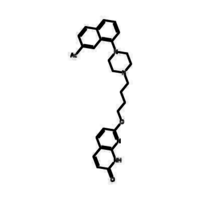 CC(=O)c1ccc2cccc(N3CCN(CCCCOc4ccc5ccc(=O)[nH]c5n4)CC3)c2c1